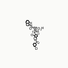 O=C(NC[C@H](NC(=O)c1c(Cl)cc2c(c1Cl)CCN(C(=O)c1cccc(Cl)c1)C2)C(=O)O)N[C@@H]1CCc2ccccc21